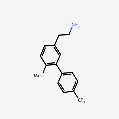 COc1ccc(CCN)cc1-c1ccc(C(F)(F)F)cc1